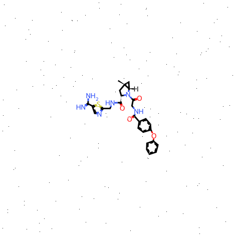 C[C@@]12C[C@@H]1N(C(=O)CNC(=O)c1ccc(Oc3ccccc3)cc1)[C@H](C(=O)NCc1ncc(C(=N)N)s1)C2